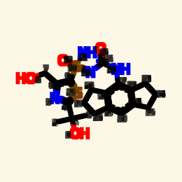 CC(C)(O)c1nc(CO)c([S@](N)(=O)=NC(=O)Nc2c3c(cc4c2CCC4)CCC3)s1